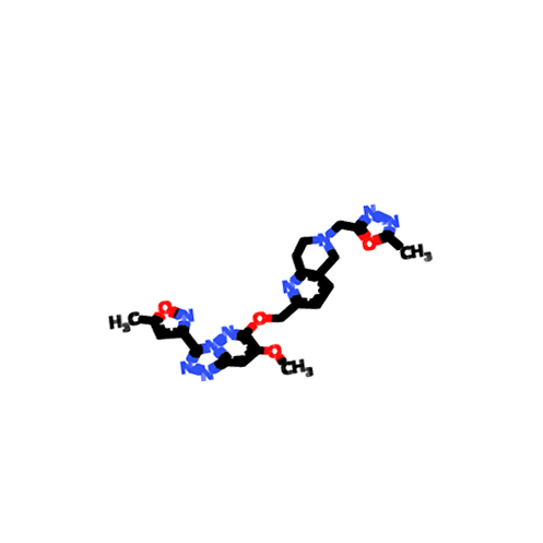 COc1cc2nnc(-c3cc(C)on3)n2nc1OCc1ccc2c(n1)CCN(Cc1nnc(C)o1)C2